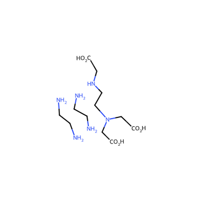 NCCN.NCCN.O=C(O)CNCCN(CC(=O)O)CC(=O)O